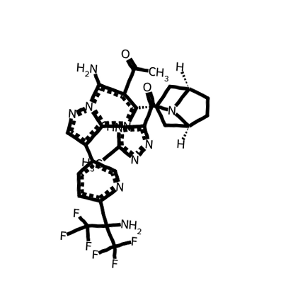 CC(=O)c1c([C@@H]2C[C@H]3CC[C@@H](C2)N3C(=O)c2nnc(C)[nH]2)nc2c(-c3ccc(C(N)(C(F)(F)F)C(F)(F)F)nc3)cnn2c1N